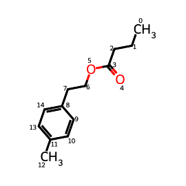 CCCC(=O)OCCc1ccc(C)cc1